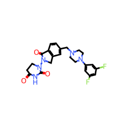 O=C1CCN(N2Cc3cc(CN4CCN(c5cc(F)cc(F)c5)CC4)ccc3C2=O)C(=O)N1